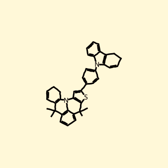 CC1(C)C2=C(CCC=C2)N2c3cc(-c4ccc(-n5c6c(c7ccccc75)CCC=C6)cc4)sc3C(C)(C)c3cccc1c32